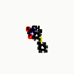 CN1C(=O)COc2cc(SCc3ccccc3)ccc21